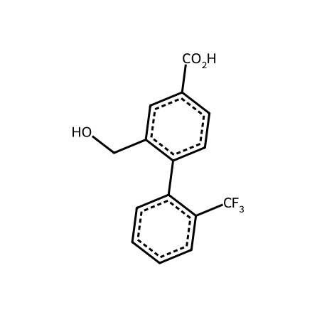 O=C(O)c1ccc(-c2ccccc2C(F)(F)F)c(CO)c1